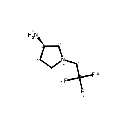 N[C@@H]1CCN(CC(F)(F)F)C1